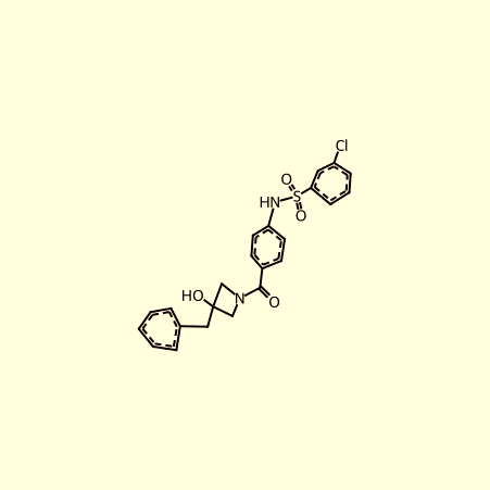 O=C(c1ccc(NS(=O)(=O)c2cccc(Cl)c2)cc1)N1CC(O)(Cc2ccccc2)C1